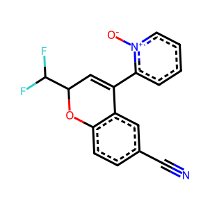 N#Cc1ccc2c(c1)C(c1cccc[n+]1[O-])=CC(C(F)F)O2